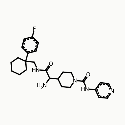 NC(C(=O)NCC1(c2ccc(F)cc2)CCCCC1)C1CCN(C(=O)Nc2ccncc2)CC1